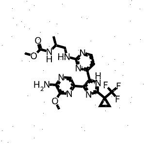 COC(=O)NC(C)CNc1nccc(-c2[nH]c(C3(C(F)(F)F)CC3)nc2-c2cnc(N)c(OC)n2)n1